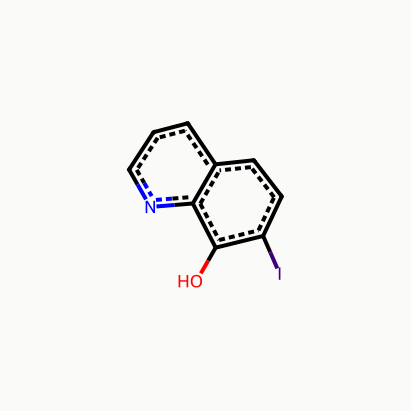 Oc1c(I)ccc2cccnc12